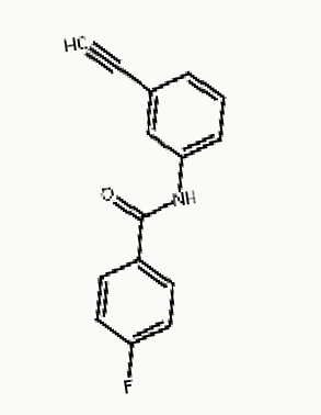 C#Cc1cccc(NC(=O)c2ccc(F)cc2)c1